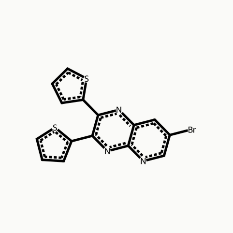 Brc1cnc2nc(-c3cccs3)c(-c3cccs3)nc2c1